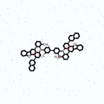 Cc1cc(-c2ccc(N(c3ccc(-c4ccc5ccccc5c4)cc3)c3c(C)cccc3-c3ccc4oc5ccccc5c4c3)c(C)c2)ccc1N(c1ccc(-c2ccc3ccccc3c2)cc1)c1c(C)cccc1-c1ccc2oc3ccccc3c2c1